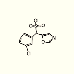 O=S(=O)(O)C(c1cccc(Cl)c1)c1cnco1